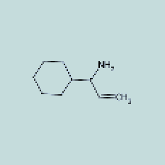 C=C[C](N)C1CCCCC1